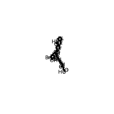 O=C(O)CCC(=O)N=C=C=CN=C=C=NC(=O)[C@@H](Cc1cc(Br)c(O)c(Br)c1)OC(=O)N1CCC(N2CCc3ccccc3NC2=O)CC1